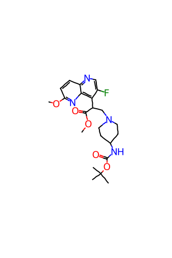 COC(=O)C(CN1CCC(NC(=O)OC(C)(C)C)CC1)c1c(F)cnc2ccc(OC)nc12